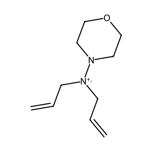 C=CC[N+](CC=C)N1CCOCC1